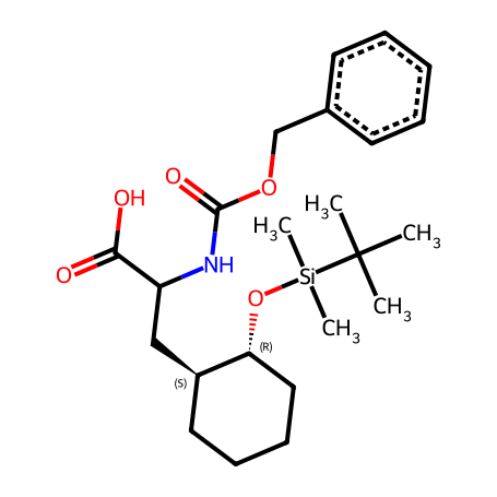 CC(C)(C)[Si](C)(C)O[C@@H]1CCCC[C@H]1CC(NC(=O)OCc1ccccc1)C(=O)O